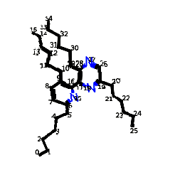 CCCCCCc1ccc(CCCCCC)c(-c2nc(CCCCCC)cnc2CCCCCC)n1